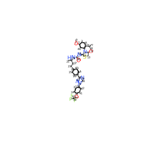 COc1ccc(C(C)C)c(N2C(=O)CS/C2=N\C(=O)NC(C)CCc2ccc(-c3ncn(-c4ccc(OC(F)(F)F)cc4)n3)cc2)c1